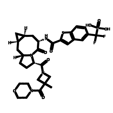 CC1(C(=O)N2CCOCC2)CN(C(=O)[C@@H]2CC[C@@H]3C[C@H]4C[C@H]4C[C@H](NC(=O)c4cc5cc(C(F)(F)P(=O)(O)O)ccc5s4)C(=O)N32)C1